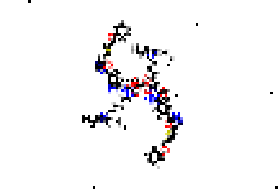 CN(C)CCCCCCN(OC(=O)C(=O)ON(CCCCCCN(C)C)C(=O)Nc1ccc(-c2nnc(CSCCOc3ccccc3)o2)cc1)C(=O)Nc1ccc(-c2nnc(CSCCOc3ccccc3)o2)cc1